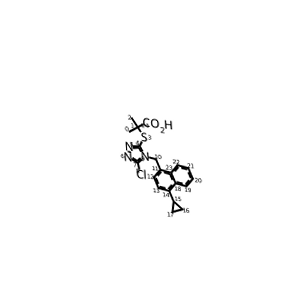 CC(C)(Sc1nnc(Cl)n1Cc1ccc(C2CC2)c2ccccc12)C(=O)O